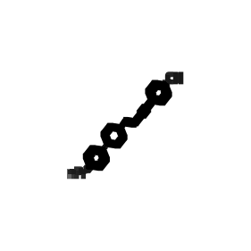 CCCc1ccc([C@H]2CC[C@H](/C=C/C#Cc3ccc(C#N)cc3)CC2)cc1